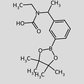 CCN(C(=O)O)C(C)c1cccc(B2OC(C)(C)C(C)(C)O2)c1